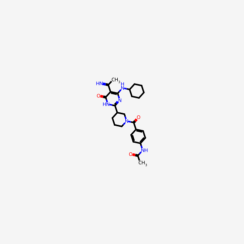 CC(=N)c1c(NC2CCCCC2)nc(C2CCCN(C(=O)c3ccc(NC(C)=O)cc3)C2)[nH]c1=O